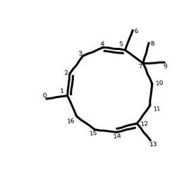 CC1=CCC=C(C)C(C)(C)CCC(C)=CCC1